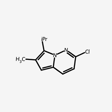 Cc1cc2ccc(Cl)nn2c1C(C)C